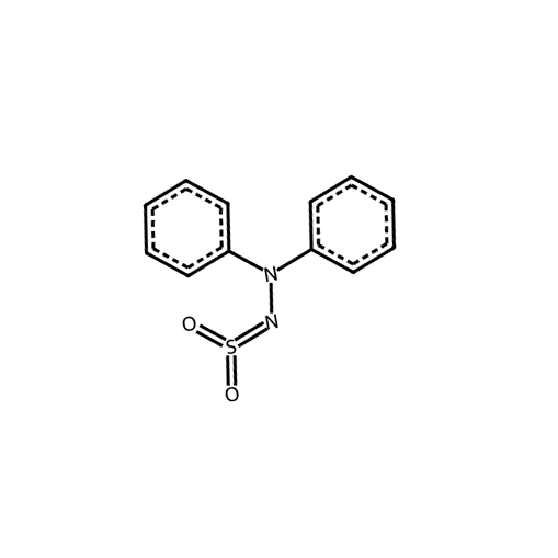 O=S(=O)=NN(c1ccccc1)c1ccccc1